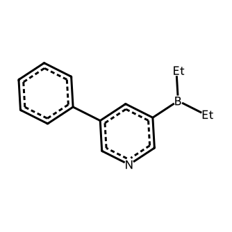 CCB(CC)c1cncc(-c2ccccc2)c1